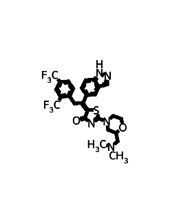 CN(C)CC1CN(C2=NC(=O)C(=C(Cc3ccc(C(F)(F)F)cc3C(F)(F)F)c3ccc4[nH]ncc4c3)S2)CCO1